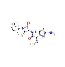 C=CC1=C(C(=O)O)N2C(=O)C(NC(=O)/C(=N\O)c3csc(N)n3)C2SC1